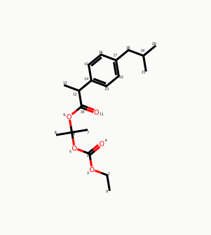 CCOC(=O)OC(C)(C)OC(=O)C(C)c1ccc(CC(C)C)cc1